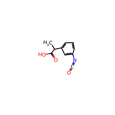 CC(C(=O)O)c1cccc(N=C=O)c1